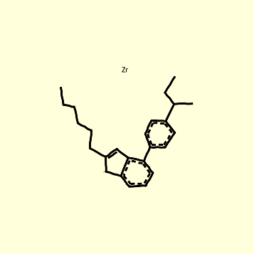 CCCCCCC1=Cc2c(cccc2-c2ccc(C(C)CC)cc2)[CH]1.[Zr]